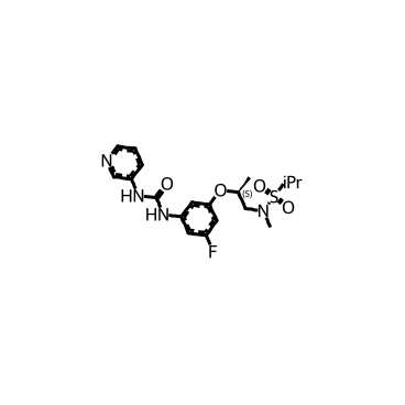 CC(C)S(=O)(=O)N(C)C[C@H](C)Oc1cc(F)cc(NC(=O)Nc2cccnc2)c1